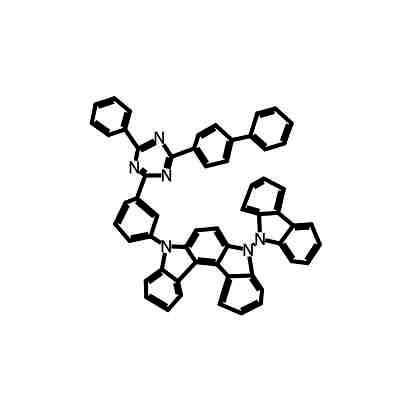 c1ccc(-c2ccc(-c3nc(-c4ccccc4)nc(-c4cccc(-n5c6ccccc6c6c7c8ccccc8n(-n8c9ccccc9c9ccccc98)c7ccc65)c4)n3)cc2)cc1